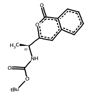 C[C@H](NC(=O)OC(C)(C)C)c1cc2ccccc2c(=O)o1